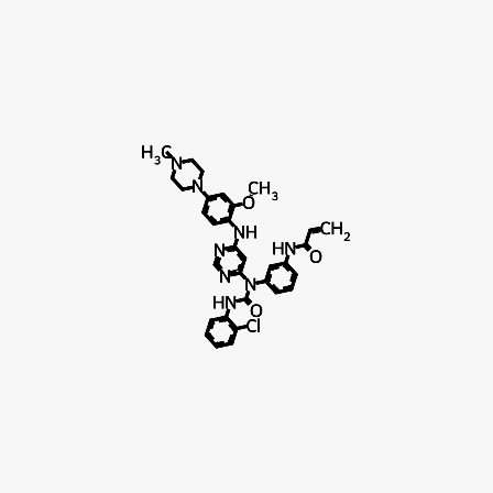 C=CC(=O)Nc1cccc(N(C(=O)Nc2ccccc2Cl)c2cc(Nc3ccc(N4CCN(C)CC4)cc3OC)ncn2)c1